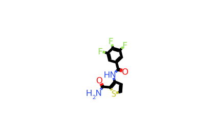 NC(=O)c1sccc1NC(=O)c1cc(F)c(F)c(F)c1